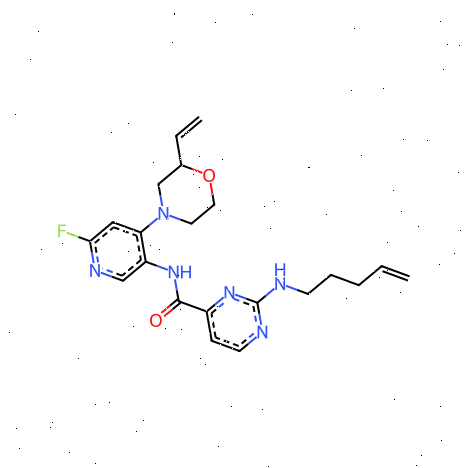 C=CCCCNc1nccc(C(=O)Nc2cnc(F)cc2N2CCOC(C=C)C2)n1